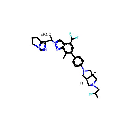 CCOC(=O)C(c1ncn2c1CCC2)n1cc2c(C(F)F)cc(-c3ccc(N4C[C@H]5CN(CC(C)F)C[C@H]5C4)cc3)c(C)c2n1